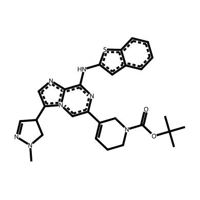 CN1CC(c2cnc3c(Nc4cc5ccccc5s4)nc(C4=CCCN(C(=O)OC(C)(C)C)C4)cn23)C=N1